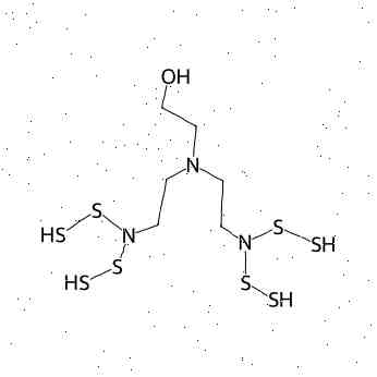 OCCN(CCN(SS)SS)CCN(SS)SS